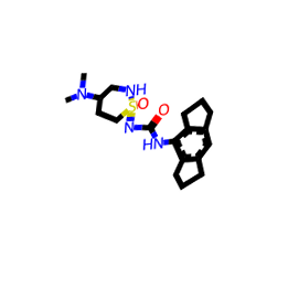 CN(C)C1CCS(=O)(=NC(=O)Nc2c3c(cc4c2CCC4)CCC3)NC1